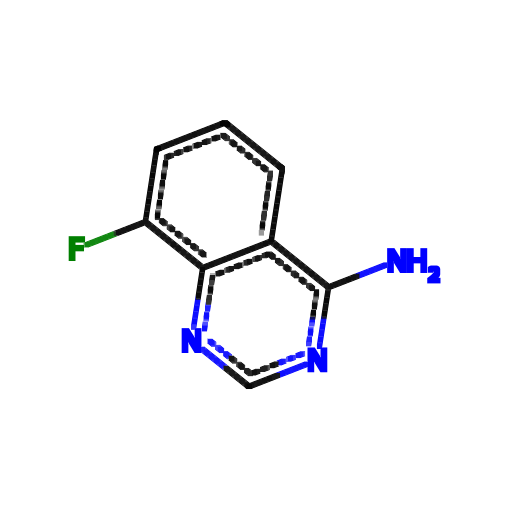 Nc1ncnc2c(F)cccc12